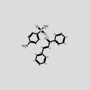 Nc1ccc(S(=O)(=O)O)cc1.O=C(C=Cc1ccccc1)c1ccccc1